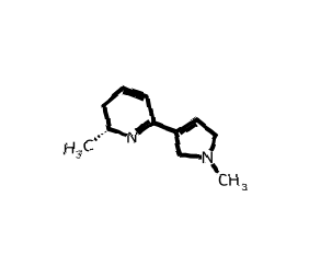 C[C@@H]1CC=CC(C2=CCN(C)C2)=N1